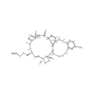 COCCC[C@@H]1/C=C/[C@@H]2CC[C@H]2CN2CCCCc3cc(Cl)ccc3COc3ccc(cc32)C(=O)NS(=O)(=O)[C@H](C)[C@@H](C)C1